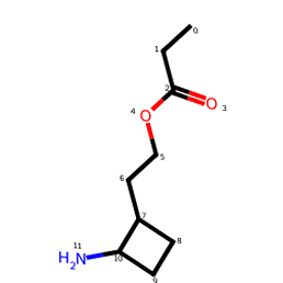 CCC(=O)OCCC1CCC1N